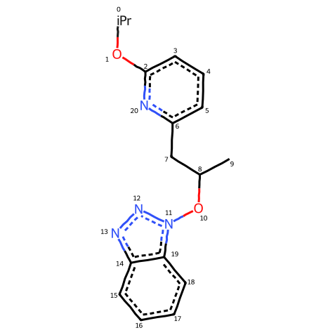 CC(C)Oc1cccc(CC(C)On2nnc3ccccc32)n1